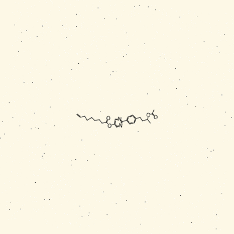 C=CCCCCCCC(=O)Oc1cnc(-c2ccc(CCC(C)OC(C)=O)cc2)nc1